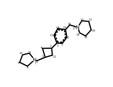 c1cc(C2CC(CN3CCCC3)C2)ccc1CN1CCCCC1